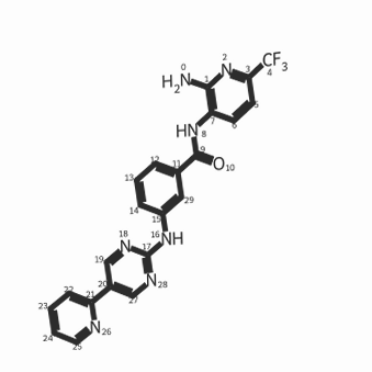 Nc1nc(C(F)(F)F)ccc1NC(=O)c1cccc(Nc2ncc(-c3ccccn3)cn2)c1